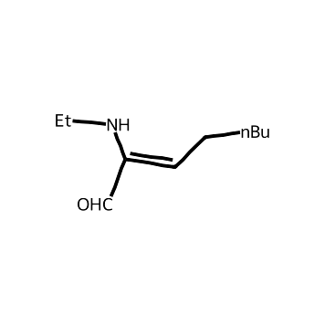 CCCCC/C=C(/C=O)NCC